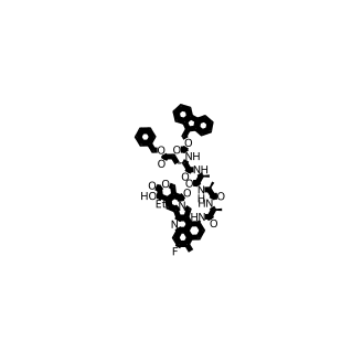 CC[C@@]1(O)C(=O)OCc2c1cc1n(c2=O)Cc2c-1nc1cc(F)c(C)c3c1c2[C@@H](NC(=O)[C@H](C)NC(=O)[C@H](C)NC(=O)[C@H](C)NC(=O)[C@H](CCC(=O)OCc1ccccc1)NC(=O)OCC1c2ccccc2-c2ccccc21)CC3